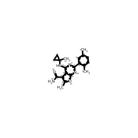 Cc1ccc(C)c(-c2nc(NC3(C)CC3)c3c(C(N)=O)c(C)oc3n2)c1